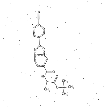 CC(NC(=O)c1ccc2nc(-c3ccc(C#N)cc3)cn2c1)C(=O)OC(C)(C)C